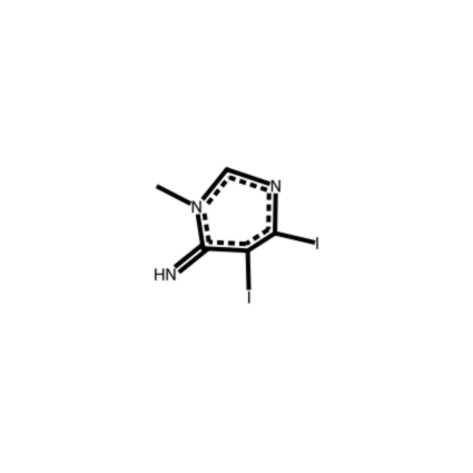 Cn1cnc(I)c(I)c1=N